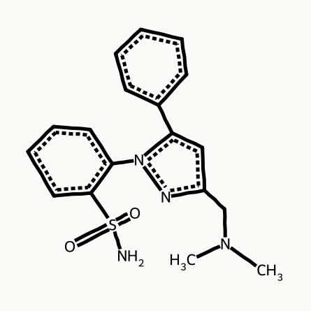 CN(C)Cc1cc(-c2ccccc2)n(-c2ccccc2S(N)(=O)=O)n1